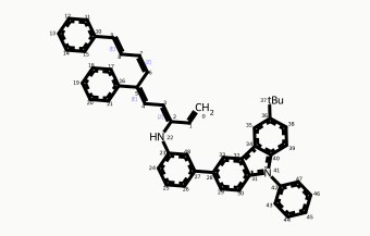 C=C/C(=C/C=C(\C=C/C=C/c1ccccc1)c1ccccc1)Nc1cccc(-c2ccc3c(c2)c2cc(C(C)(C)C)ccc2n3-c2ccccc2)c1